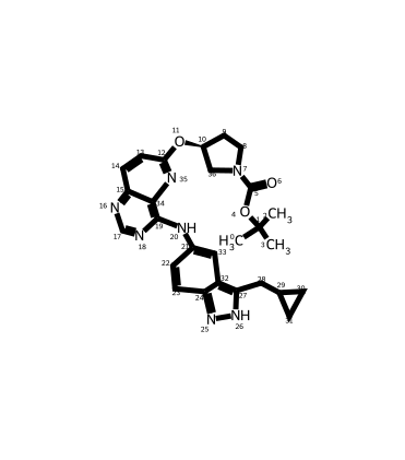 CC(C)(C)OC(=O)N1CC[C@H](Oc2ccc3ncnc(Nc4ccc5n[nH]c(CC6CC6)c5c4)c3n2)C1